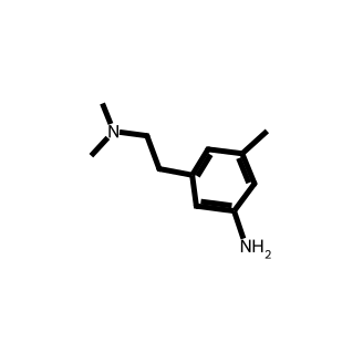 Cc1cc(N)cc(CCN(C)C)c1